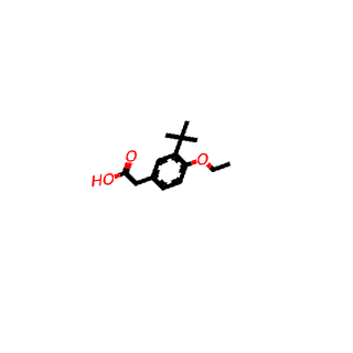 CCOc1ccc(CC(=O)O)cc1C(C)(C)C